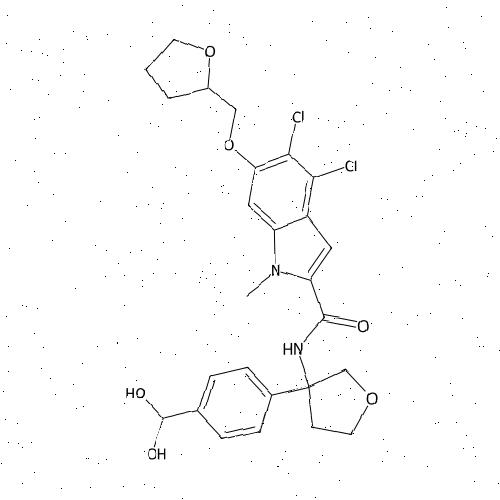 Cn1c(C(=O)NC2(c3ccc(C(O)O)cc3)CCOC2)cc2c(Cl)c(Cl)c(OCC3CCCO3)cc21